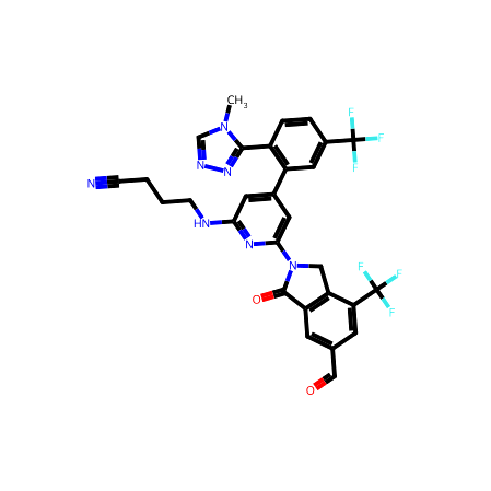 Cn1cnnc1-c1ccc(C(F)(F)F)cc1-c1cc(NCCCC#N)nc(N2Cc3c(cc(C=O)cc3C(F)(F)F)C2=O)c1